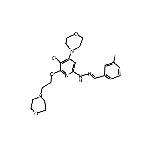 Cc1cccc(C=NNc2cc(N3CCOCC3)c(Cl)c(OCCN3CCOCC3)n2)c1